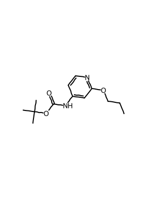 CCCOc1cc(NC(=O)OC(C)(C)C)ccn1